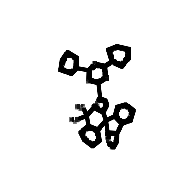 CC1(C)c2ccccc2C2(c3ccccc3-c3ccccc32)c2ccc(-c3nc(-c4ccccc4)nc(-c4ccccc4)n3)cc21